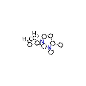 CC1(C)c2ccccc2-c2cc3c4ccc(N(c5ccccc5)c5cc(-c6ccccc6)cc(-c6ccccc6)c5)cc4n(-c4ccccc4)c3cc21